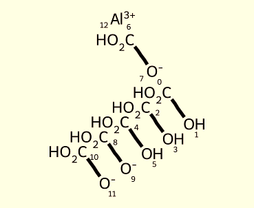 O=C(O)O.O=C(O)O.O=C(O)O.O=C([O-])O.O=C([O-])O.O=C([O-])O.[Al+3]